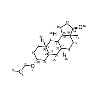 COCO[C@@H]1CC[C@@H]2CC3[C@@H](CC[C@@]4(C)C(=O)CC[C@H]34)C[C@@]2(C)C1